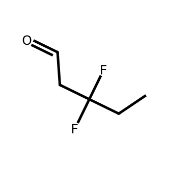 CCC(F)(F)CC=O